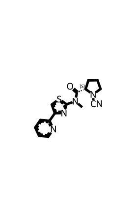 CN(C(=O)[C@@H]1CCCN1C#N)c1nc(-c2ccccn2)cs1